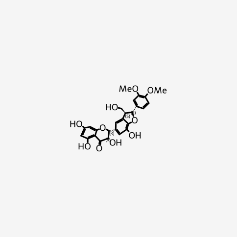 COc1ccc([C@@H]2Oc3c(O)cc([C@H]4Oc5cc(O)cc(O)c5C(=O)[C@@H]4O)cc3[C@H]2CO)cc1OC